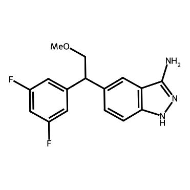 COCC(c1cc(F)cc(F)c1)c1ccc2[nH]nc(N)c2c1